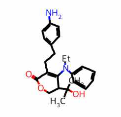 CCN(C1=C(CCc2ccc(N)cc2)C(=O)OCC1C(C)(C)O)c1ccccc1